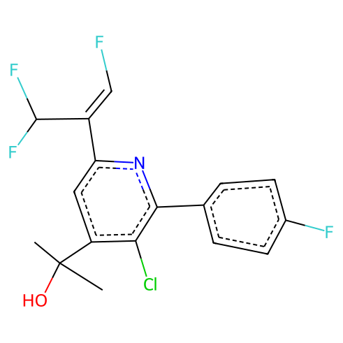 CC(C)(O)c1cc(C(=CF)C(F)F)nc(-c2ccc(F)cc2)c1Cl